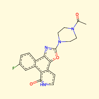 CC(=O)N1CCN(c2nc3c4ccc(F)cc4c4c(=O)[nH]ccc4c3o2)CC1